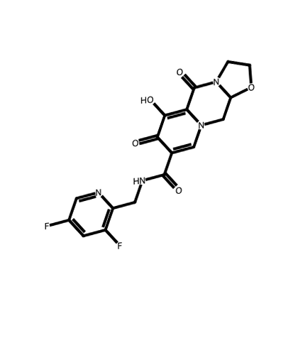 O=C(NCc1ncc(F)cc1F)c1cn2c(c(O)c1=O)C(=O)N1CCOC1C2